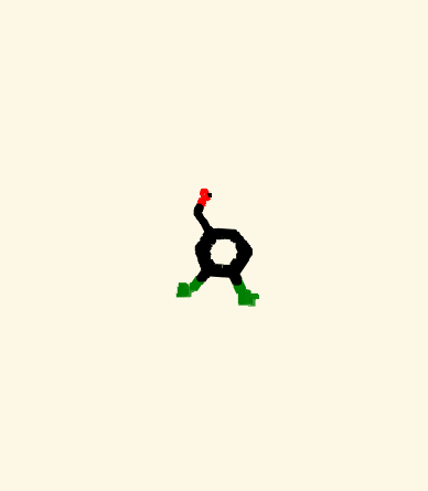 [O]Cc1ccc(Br)c(Br)c1